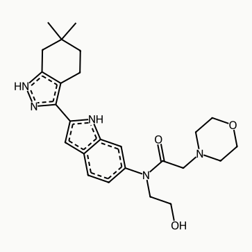 CC1(C)CCc2c(-c3cc4ccc(N(CCO)C(=O)CN5CCOCC5)cc4[nH]3)n[nH]c2C1